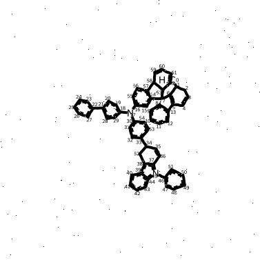 CC1CC=CC2=C1[C@@]1(c3ccccc32)c2cc(N(c3ccc(-c4ccccc4)cc3)c3ccc(C4C=Cc5c(c6ccccc6n5-c5ccccc5)C4)cc3)ccc2C2C=CC=CC21